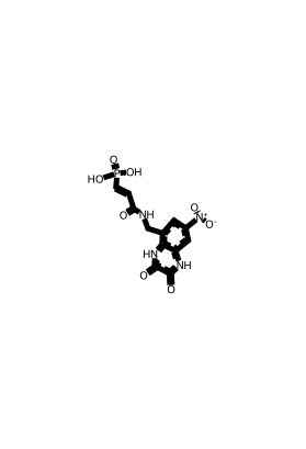 O=C(C=CP(=O)(O)O)NCc1cc([N+](=O)[O-])cc2[nH]c(=O)c(=O)[nH]c12